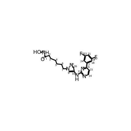 O=C(CCCCCCn1cc(Nc2nccc(-c3cc(F)cc(F)c3)n2)cn1)NO